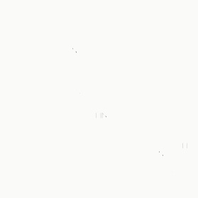 CC#Cc1sc2c(NC3CCC(N(C)C)CC3)cccc2c1-n1cccc1